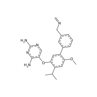 C=NCc1cccc(-c2cc(Oc3cnc(N)nc3N)c(C(C)C)cc2OC)c1